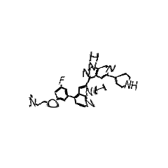 CN(C)CCOc1cc(F)cc(-c2ccnc3[nH]c(-c4n[nH]c5cnc(C6CCNCC6)cc45)cc23)c1